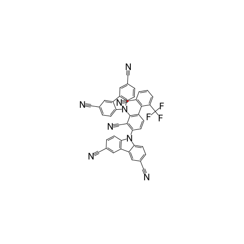 N#Cc1ccc2c(c1)c1cc(C#N)ccc1n2-c1ccc(-c2c(C#N)cccc2C(F)(F)F)c(-n2c3ccc(C#N)cc3c3cc(C#N)ccc32)c1C#N